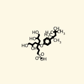 CC(C)(C)CC(C)(C)c1ccc(OC(CCCS(=O)(=O)O)(CC(O)CO)CC(O)CO)cc1